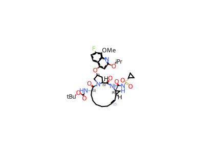 COc1c(F)ccc2c(O[C@@H]3C[C@H]4C(=O)N[C@]5(C(=O)NS(=O)(=O)C6CC6)C[C@H]5/C=C\CCCCC[C@H](NC(=O)OC(C)(C)C)C(=O)N4C3)cc(OC(C)C)nc12